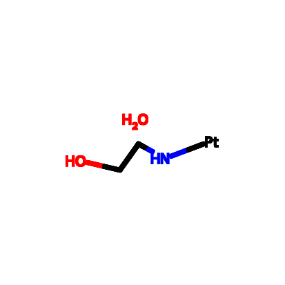 O.OCC[NH][Pt]